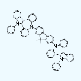 CC1(C)c2cc(N3c4ccccc4-c4c(n(-c5ccccc5)c5ccccc45)-c4ccccc43)ccc2-c2ccc(N3c4ccccc4-c4c(n(-c5ccccc5)c5ccccc45)-c4ccccc43)cc21